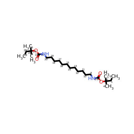 CCC(C)(C)OC(=O)NCCCCCCCCCCCCNC(=O)OC(C)(C)CC